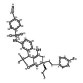 CCC[C@]1(CCc2ccc(F)cc2)CC(O)=C(C(c2cccc(NS(=O)(=O)c3ccc(C#N)cn3)c2)C(C)(C)C)C(=O)O1